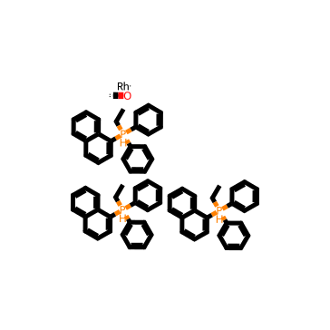 CC[PH](c1ccccc1)(c1ccccc1)c1cccc2ccccc12.CC[PH](c1ccccc1)(c1ccccc1)c1cccc2ccccc12.CC[PH](c1ccccc1)(c1ccccc1)c1cccc2ccccc12.[C]=O.[Rh]